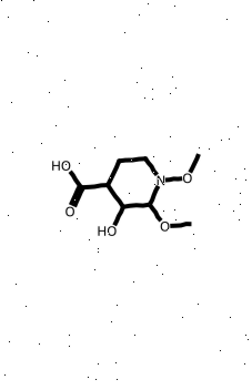 COC1C(O)C(C(=O)O)CCN1OC